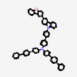 c1ccc(-c2ccc(-c3ccc(N(c4ccc(-c5ccc(-c6ccccc6)cc5)cc4)c4ccc(-c5ccc(-n6c7ccccc7c7cc(-c8ccc9oc%10ccccc%10c9c8)ccc76)cc5)cc4)cc3)cc2)cc1